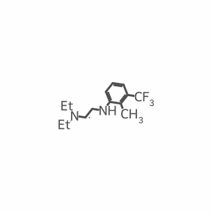 CCN([CH]CNc1cccc(C(F)(F)F)c1C)CC